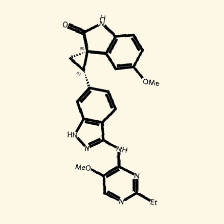 CCc1ncc(OC)c(Nc2n[nH]c3cc([C@@H]4C[C@@]45C(=O)Nc4ccc(OC)cc45)ccc23)n1